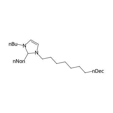 CCCCCCCCCCCCCCCCCN1C=CN(CCCC)C1CCCCCCCCC